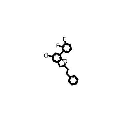 Fc1cccc(-c2cc(Cl)cc3c2OC([CH]Cc2ccccc2)C3)c1F